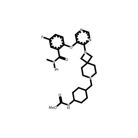 COC(=O)NC1CCC(CN2CCC3(CC2)CN(c2ncncc2Oc2ccc(F)cc2C(=O)N(C)C(C)C)C3)CC1